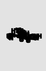 Cc1cc(C)c(S(=O)(=O)NC(CNC(=O)c2ccc3[nH]ncc3c2)C(=O)OCCCNc2ccccn2)c(C)c1